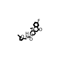 Cc1ccc(CNC(=O)N2CCC3(CC2)CC(=O)c2cc(F)ccc2N3C)o1